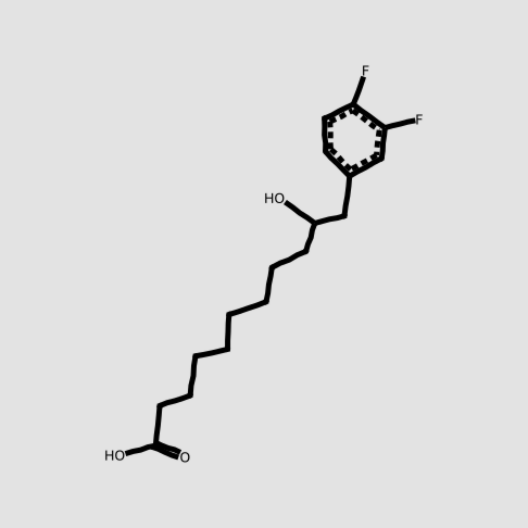 O=C(O)CCCCCCCCC(O)Cc1ccc(F)c(F)c1